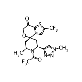 C[C@H]1C[C@@]2(C[C@@H](c3cn(C)nn3)N1C(=O)C(F)(F)F)OCC(=O)c1sc(C(F)(F)F)cc12